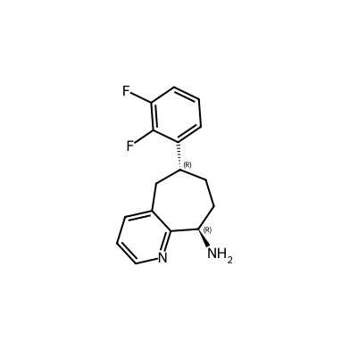 N[C@@H]1CC[C@@H](c2cccc(F)c2F)Cc2cccnc21